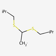 [CH2]C(SCC(C)C)SCC(C)C